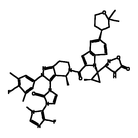 Cc1cc(-n2nc3c(c2-n2ccn(-c4c(F)ncn4C)c2=O)[C@H](C)N(C(=O)c2cc4cc([C@H]5CCOC(C)(C)C5)ccc4n2[C@@]2(c4noc(=O)[nH]4)C[C@@H]2C)CC3)cc(C)c1F